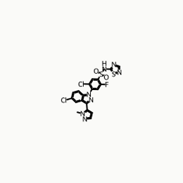 Cn1nccc1-c1nn(-c2cc(F)c(S(=O)(=O)Nc3ncns3)cc2Cl)c2ccc(Cl)cc12